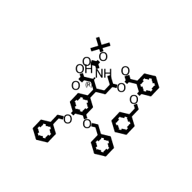 CC(CC(c1ccc(OCc2ccccc2)c(OCc2ccccc2)c1)[C@@H](NC(=O)OC(C)(C)C)C(=O)O)OC(=O)c1ccccc1OCc1ccccc1